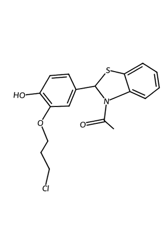 CC(=O)N1c2ccccc2SC1c1ccc(O)c(OCCCCl)c1